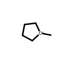 C[O+]1CCCC1